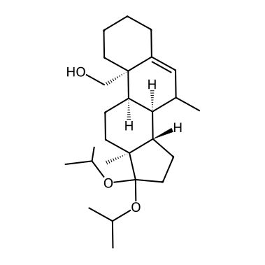 CC(C)OC1(OC(C)C)CC[C@H]2[C@@H]3C(C)C=C4CCCC[C@]4(CO)[C@@H]3CC[C@@]21C